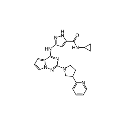 O=C(NC1CC1)c1cc(Nc2nc(N3CCC(c4ccccn4)C3)nn3cccc23)n[nH]1